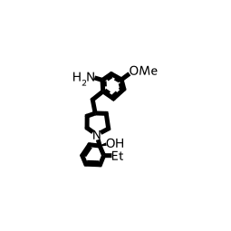 CCC1C=CC=C[C@]1(O)N1CCC(Cc2ccc(OC)cc2N)CC1